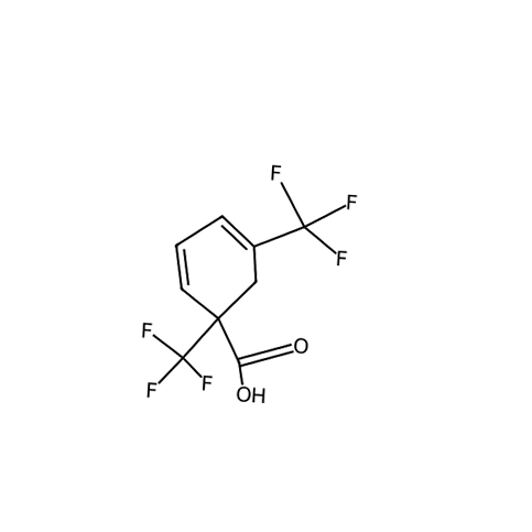 O=C(O)C1(C(F)(F)F)C=CC=C(C(F)(F)F)C1